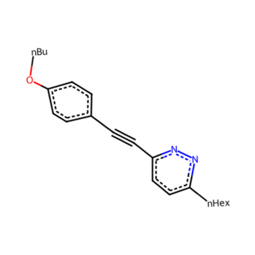 CCCCCCc1ccc(C#Cc2ccc(OCCCC)cc2)nn1